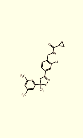 O=C(NCc1ccc(C2=NOC(c3cc(C(F)(F)F)cc(C(F)(F)F)c3)(C(F)(F)F)C2)cc1Cl)C1CC1